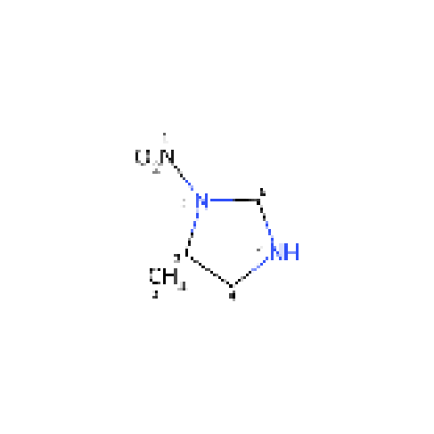 C.O=[N+]([O-])N1CCNC1